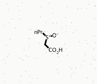 CCC[S+]([O-])CC(=O)O